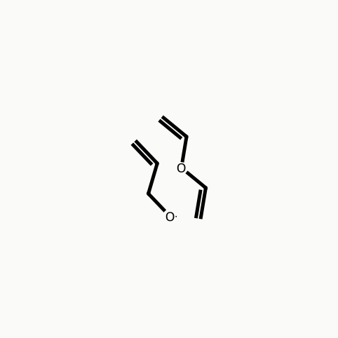 C=CC[O].C=COC=C